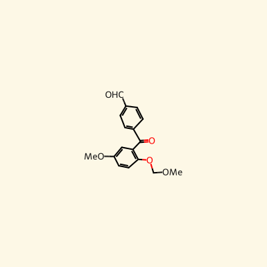 COCOc1ccc(OC)cc1C(=O)c1ccc(C=O)cc1